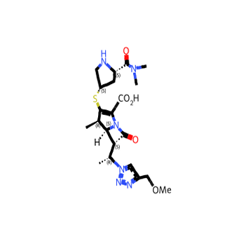 COCc1cn([C@H](C)[C@H]2C(=O)N3C(C(=O)O)=C(S[C@@H]4CN[C@H](C(=O)N(C)C)C4)[C@H](C)[C@H]23)nn1